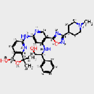 CN1CCC(c2noc(-c3cnc(Nc4ccc5c(n4)C(C)(C)OB5O)cc3N[C@H](CO)c3ccccc3)n2)CC1